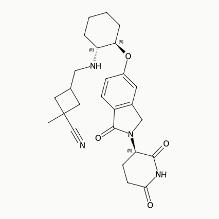 CC1(C#N)CC(CN[C@@H]2CCCC[C@H]2Oc2ccc3c(c2)CN([C@@H]2CCC(=O)NC2=O)C3=O)C1